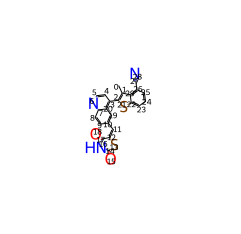 Cc1c(-c2ccnc3ccc(C=C4SC(=O)NC4=O)cc23)sc2cccc(C#N)c12